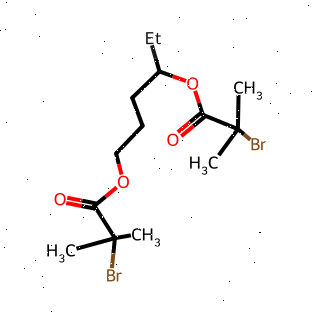 CCC(CCCOC(=O)C(C)(C)Br)OC(=O)C(C)(C)Br